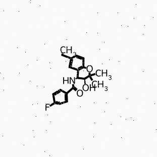 CCc1ccc2c(c1)[C@@H](NC(=O)c1ccc(F)cc1)[C@H](O)C(C)(C)O2